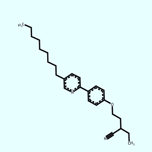 CCCCCCCCCc1ccc(-c2ccc(OCCC(C#N)CC)cc2)nc1